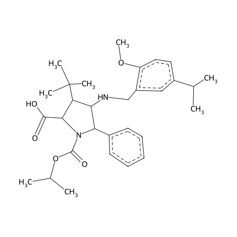 COc1ccc(C(C)C)cc1CNC1C(c2ccccc2)N(C(=O)OC(C)C)C(C(=O)O)C1C(C)(C)C